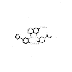 C=CC(=O)N1CCC(F)(F)C(Oc2cc(OC)cc3ncnc(Nc4cc(-c5ccco5)ccc4OC)c23)C1